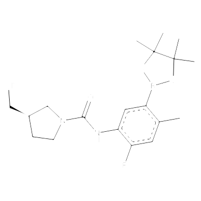 Cc1cc(F)c(NC(=O)N2CC[C@@H](CC(F)(F)F)C2)cc1B1OC(C)(C)C(C)(C)O1